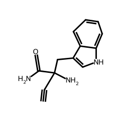 C#CC(N)(Cc1c[nH]c2ccccc12)C(N)=O